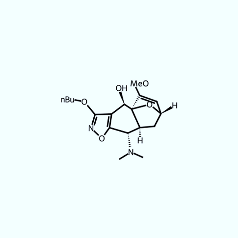 CCCCOc1noc2c1[C@@H](O)[C@]13O[C@H](C=C1OC)C[C@H]3[C@@H]2N(C)C